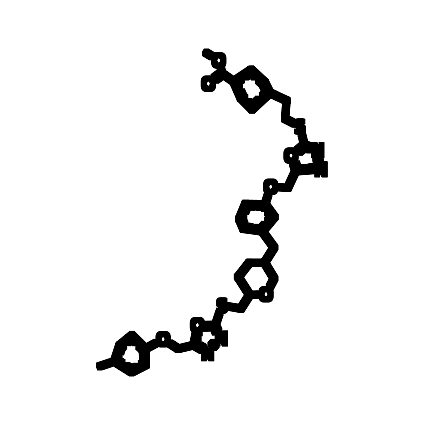 COC(=O)c1ccc(CCSc2nnc(COc3cccc(CC4CCC(CSc5nnc(COc6ccc(C)cc6)o5)OC4)c3)o2)cc1